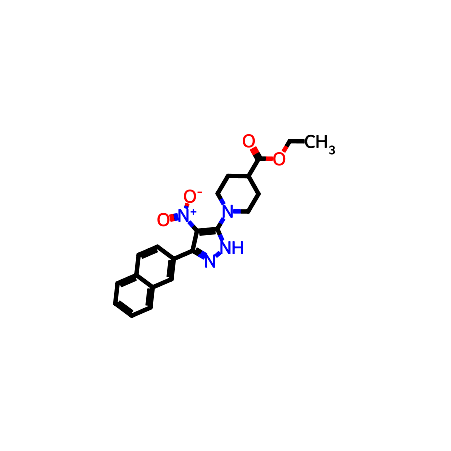 CCOC(=O)C1CCN(c2[nH]nc(-c3ccc4ccccc4c3)c2[N+](=O)[O-])CC1